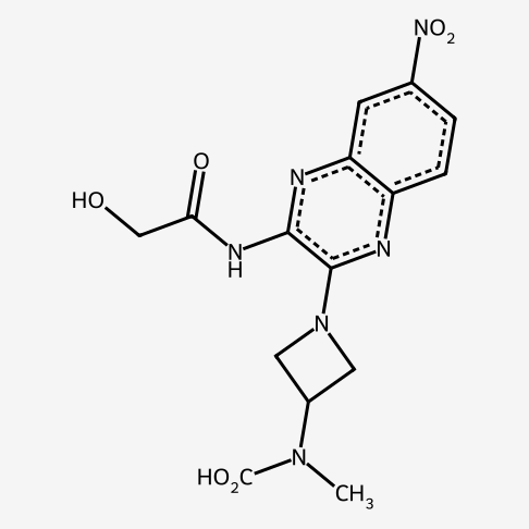 CN(C(=O)O)C1CN(c2nc3ccc([N+](=O)[O-])cc3nc2NC(=O)CO)C1